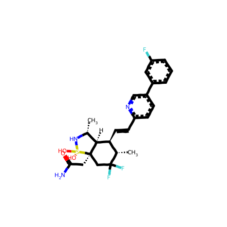 C[C@H]1NS(O)(O)[C@]2(CC(N)=O)CC(F)(F)[C@@H](C)[C@H](/C=C/c3ccc(-c4cccc(F)c4)cn3)[C@H]12